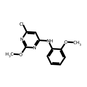 COc1nc(Cl)cc(Nc2ccccc2OC)n1